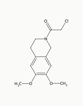 COc1cc2c(cc1OC)CN(C(=O)CCl)CC2